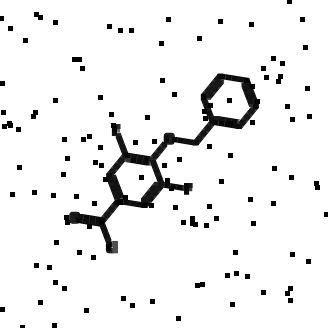 O=C(Cl)c1cc(F)c(OCc2ccccc2)c(F)c1